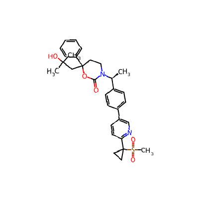 C[C@@H](c1ccc(-c2ccc(C3(S(C)(=O)=O)CC3)nc2)cc1)N1CCC(CC(C)(C)O)(c2ccccc2)OC1=O